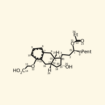 CCCCC[C@@H](CC[C@@H]1[C@H]2Cc3cccc(OCC(=O)O)c3C[C@H]2C[C@H]1O)OC(=O)CC